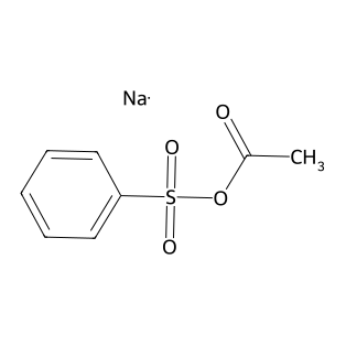 CC(=O)OS(=O)(=O)c1ccccc1.[Na]